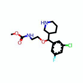 COC(=O)NCCOC(c1cc(F)cc(Cl)c1)C1CCCNC1